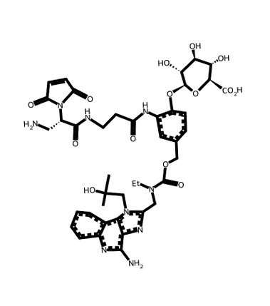 CCN(Cc1nc2c(N)nc3ccccc3c2n1CC(C)(C)O)C(=O)OCc1ccc(O[C@@H]2O[C@H](C(=O)O)[C@@H](O)[C@H](O)[C@H]2O)c(NC(=O)CCNC(=O)[C@H](CN)N2C(=O)C=CC2=O)c1